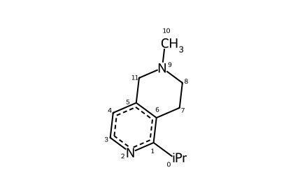 CC(C)c1nccc2c1CCN(C)C2